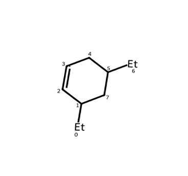 CCC1C=[C]CC(CC)C1